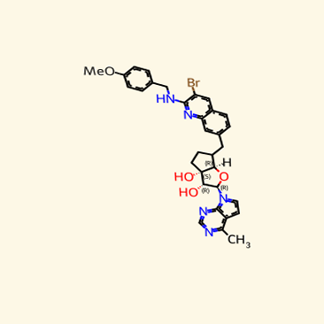 COc1ccc(CNc2nc3cc(CC4CC[C@@]5(O)[C@@H]4O[C@@H](n4ccc6c(C)ncnc64)[C@@H]5O)ccc3cc2Br)cc1